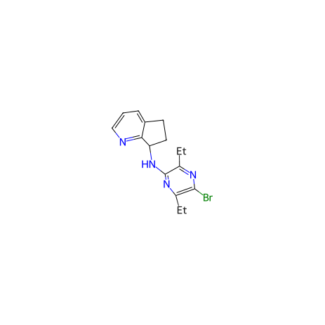 CCc1nc(NC2CCc3cccnc32)c(CC)nc1Br